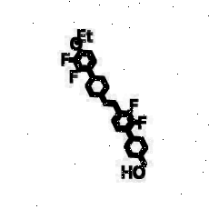 CCOc1ccc(C2CCC(/C=C/c3ccc(C4CCC(CO)CC4)c(F)c3F)CC2)c(F)c1F